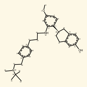 COc1ccc([C@@H]2CCc3cc(O)ccc3C2)c(NCCCc2ccc(CCN(C)C(C)(C)C)cc2)c1